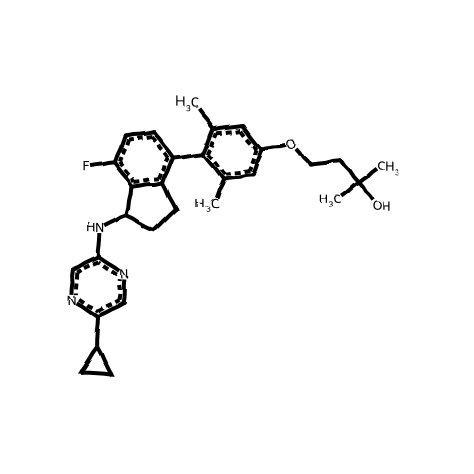 Cc1cc(OCCC(C)(C)O)cc(C)c1-c1ccc(F)c2c1CCC2Nc1cnc(C2CC2)cn1